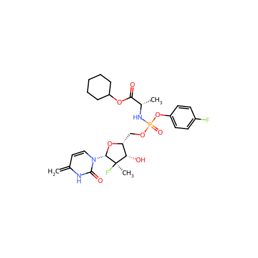 C=C1C=CN([C@@H]2O[C@H](COP(=O)(N[C@@H](C)C(=O)OC3CCCCC3)Oc3ccc(F)cc3)[C@H](O)[C@@]2(C)F)C(=O)N1